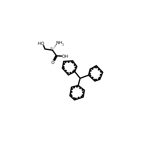 N[C@@H](CO)C(=O)O.c1ccc(C(c2ccccc2)c2ccccc2)cc1